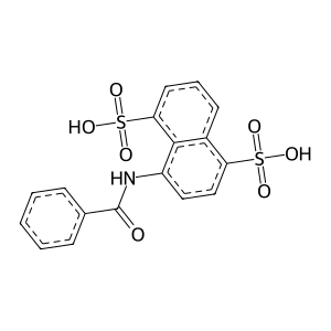 O=C(Nc1ccc(S(=O)(=O)O)c2cccc(S(=O)(=O)O)c12)c1ccccc1